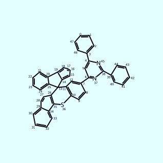 c1ccc(-c2cc(-c3ccc4c(c3)C3(c5ccccc5-c5ccccc53)c3ccc5ccccc5c3S4)nc(-c3ccccc3)n2)cc1